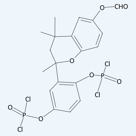 CC1(C)CC(C)(c2cc(OP(=O)(Cl)Cl)ccc2OP(=O)(Cl)Cl)Oc2ccc(OC=O)cc21